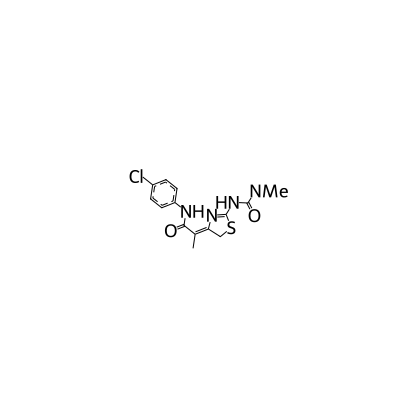 CNC(=O)NC1=NC(=C(C)C(=O)Nc2ccc(Cl)cc2)CS1